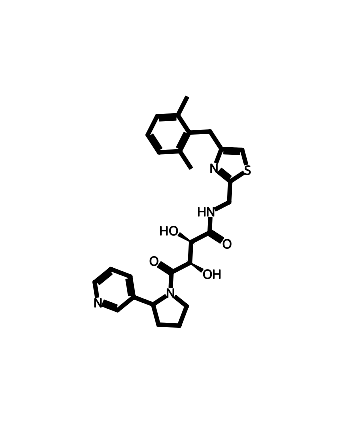 Cc1cccc(C)c1Cc1csc(CNC(=O)[C@H](O)[C@@H](O)C(=O)N2CCCC2c2cccnc2)n1